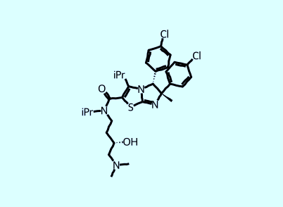 CC(C)C1=C(C(=O)N(CC[C@H](O)CN(C)C)C(C)C)SC2=N[C@@](C)(c3ccc(Cl)cc3)[C@@H](c3ccc(Cl)cc3)N21